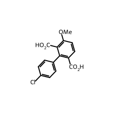 COc1ccc(C(=O)O)c(-c2ccc(Cl)cc2)c1C(=O)O